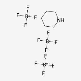 C1CCNCC1.F[B-](F)(F)F.F[B-](F)(F)F.F[B-](F)(F)F